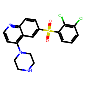 O=S(=O)(c1ccc2nccc(N3CCNCC3)c2c1)c1cccc(Cl)c1Cl